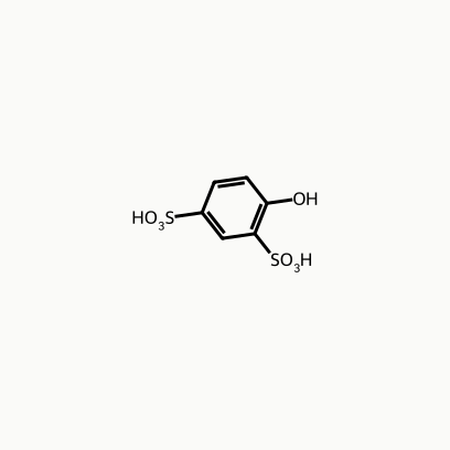 O=S(=O)(O)c1ccc(O)c(S(=O)(=O)O)c1